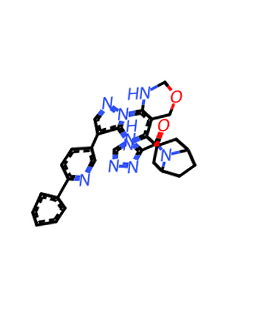 O=C(c1nnc[nH]1)N1C2CCC1CC(c1nc3c(-c4ccc(-c5ccccc5)nc4)cnn3c3c1COCN3)C2